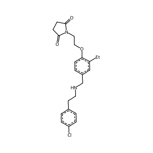 CCc1cc(CNCCc2ccc(Cl)cc2)ccc1OCCN1C(=O)CCC1=O